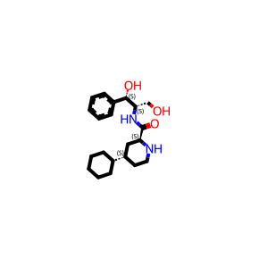 O=C(N[C@@H](CO)[C@@H](O)c1ccccc1)[C@@H]1C[C@@H](C2CCCCC2)CCN1